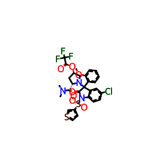 COc1ccccc1C1(N2C[C@H](OC(=O)C(F)(F)F)C[C@H]2C(=O)N(C)C)C(=O)N(S(=O)(=O)c2ccsc2)c2ccc(Cl)cc21